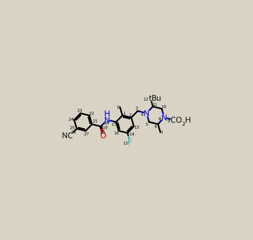 Cc1c(CN2CC(C)N(C(=O)O)CC2C(C)(C)C)cc(F)cc1NC(=O)c1cccc(C#N)c1